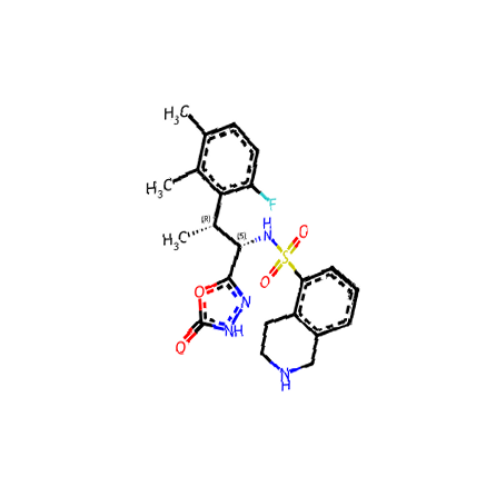 Cc1ccc(F)c([C@@H](C)[C@H](NS(=O)(=O)c2cccc3c2CCNC3)c2n[nH]c(=O)o2)c1C